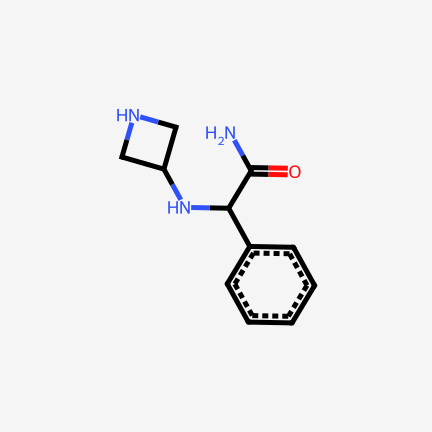 NC(=O)C(NC1CNC1)c1ccccc1